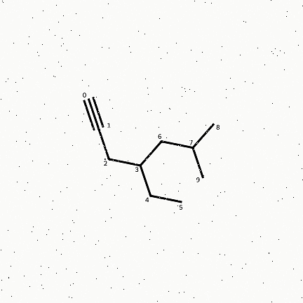 C#C[CH]C(CC)CC(C)C